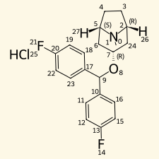 CN1[C@@H]2CC[C@H]1C[C@@H](OC(c1ccc(F)cc1)c1ccc(F)cc1)C2.Cl